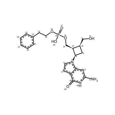 Nc1nc2c(ncn2[C@@H]2C[C@H](CO)[C@@H]2COP(=O)(O)OCCc2ccccc2)c(=O)[nH]1